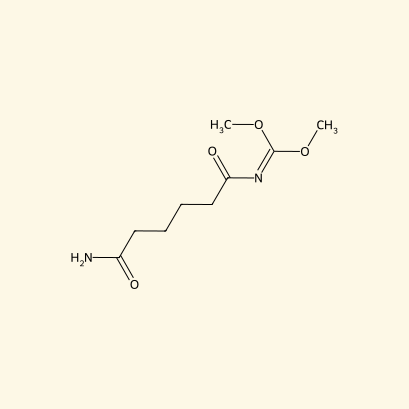 COC(=NC(=O)CCCCC(N)=O)OC